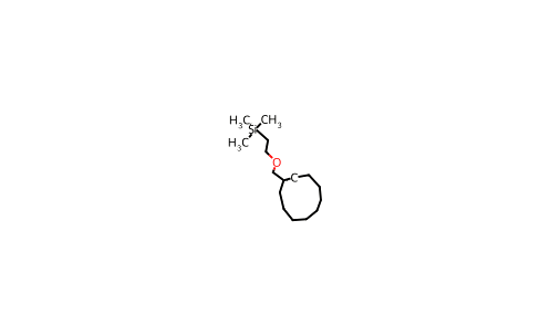 C[Si](C)(C)CCOC[C]1CCCCCCCCC1